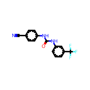 N#Cc1ccc(NC(=O)Nc2cccc(C(F)(F)F)c2)cc1